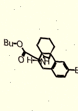 CCc1ccc2c(c1)[C@@]13CCCC[C@H]1[C@@H](C2)N(C(=O)OC(C)(C)C)CC3